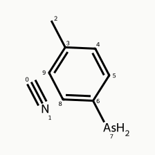 C#N.Cc1ccc([AsH2])cc1